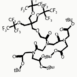 CC(C)(C)OC(=O)CN(CC(=O)OC(C)(C)C)C(=O)CN(CC(=O)N(CC(=O)OC(C)(C)C)CC(=O)OC(C)(C)C)C(=O)COCC(COC(C(F)(F)F)(C(F)(F)F)C(F)(F)F)(COC(C(F)(F)F)(C(F)(F)F)C(F)(F)F)COC(C(F)(F)F)(C(F)(F)F)C(F)(F)F